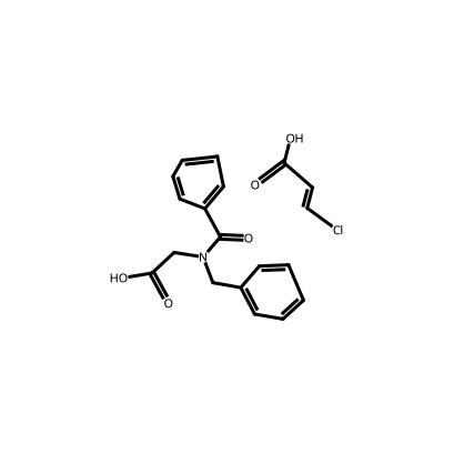 O=C(O)/C=C/Cl.O=C(O)CN(Cc1ccccc1)C(=O)c1ccccc1